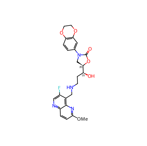 COc1ccc2ncc(F)c(CNCC[C@H](O)[C@H]3CN(c4ccc5c(c4)OCCO5)C(=O)O3)c2n1